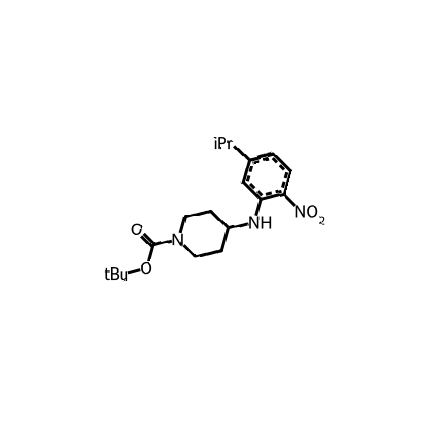 CC(C)c1ccc([N+](=O)[O-])c(NC2CCN(C(=O)OC(C)(C)C)CC2)c1